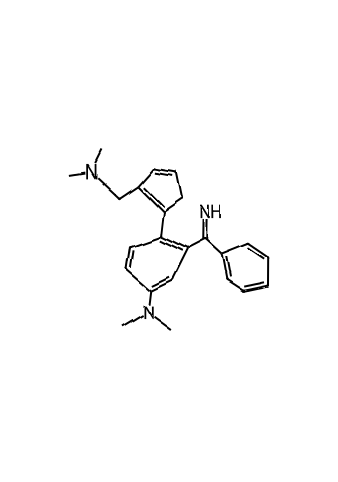 CN(C)CC1=C(c2ccc(N(C)C)cc2C(=N)c2ccccc2)CC=C1